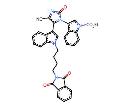 CCOC(=O)n1cc(-n2c(-c3cn(CCCCN4C(=O)c5ccccc5C4=O)c4ccccc34)c(C#N)[nH]c2=O)c2ccccc21